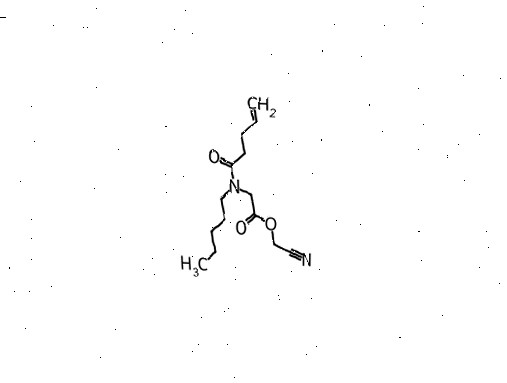 C=CCCC(=O)N(CCCCC)CC(=O)OCC#N